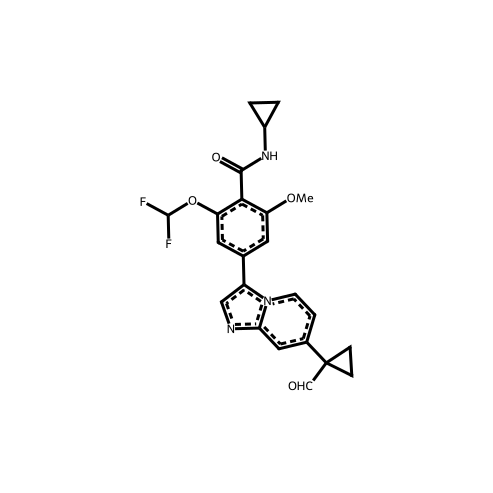 COc1cc(-c2cnc3cc(C4(C=O)CC4)ccn23)cc(OC(F)F)c1C(=O)NC1CC1